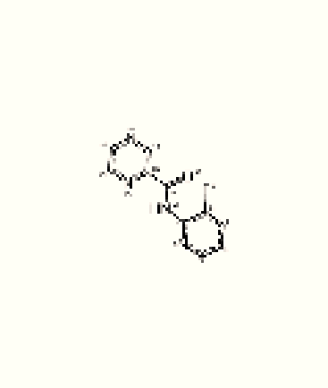 O=C(Nc1ncccc1F)c1cnccn1